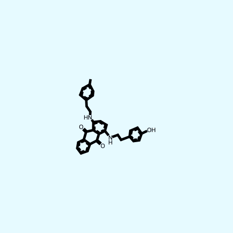 Cc1ccc(CCNc2ccc(NCCc3ccc(O)cc3)c3c2C(=O)c2ccccc2C3=O)cc1